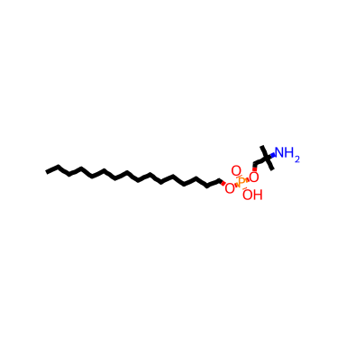 CCCCCCCCCCCCCCCCOP(=O)(O)OCC(C)(C)N